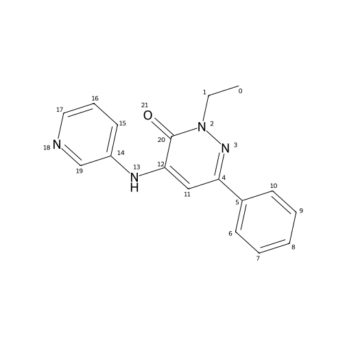 CCn1nc(-c2ccccc2)cc(Nc2cccnc2)c1=O